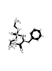 CCOP(=O)(N[C@@H](Cc1ccccc1)C(=O)O)OCC